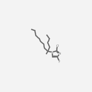 CCCCCCCC(C)(CCCC)n1cc(F)nc1Cl